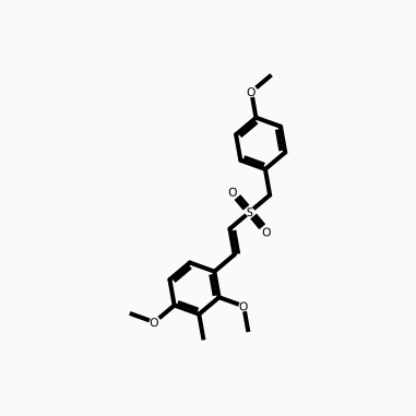 COc1ccc(CS(=O)(=O)/C=C/c2ccc(OC)c(C)c2OC)cc1